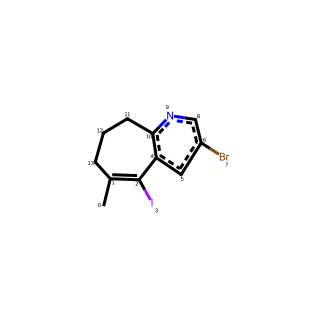 CC1=C(I)c2cc(Br)cnc2CCC1